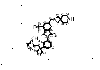 Cn1cnnc1CC1(c2cccc(N3Cc4c(cc(CN5CC6(CCNCC6)C5)cc4C(F)(F)F)C3=O)c2)COC1